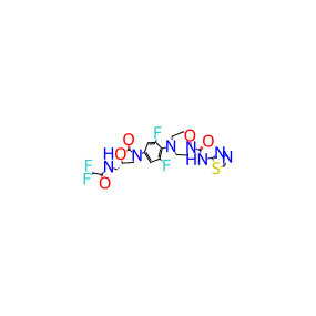 O=C(NC[C@H]1CN(c2cc(F)c(N3CCON(C(=O)Nc4nncs4)CC3)c(F)c2)C(=O)O1)C(F)F